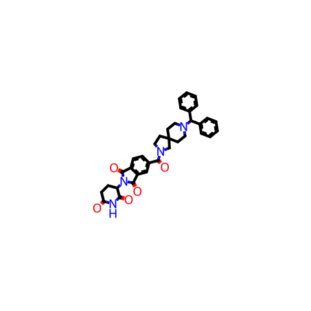 O=C1CCC(N2C(=O)c3ccc(C(=O)N4CCC5(CCN(C(c6ccccc6)c6ccccc6)CC5)C4)cc3C2=O)C(=O)N1